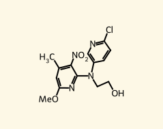 COc1cc(C)c([N+](=O)[O-])c(N(CCO)c2ccc(Cl)nc2)n1